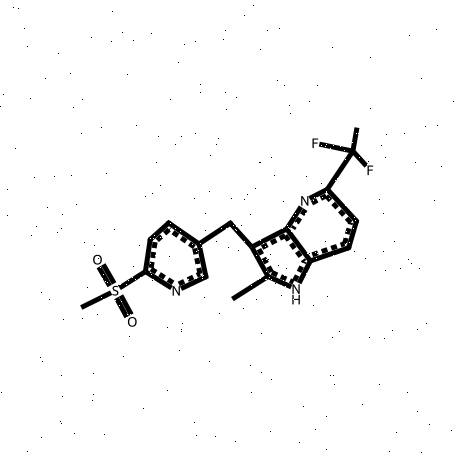 Cc1[nH]c2ccc(C(C)(F)F)nc2c1Cc1ccc(S(C)(=O)=O)nc1